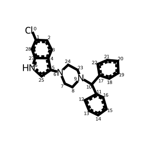 Clc1ccc2c(N3CCN(C(c4ccccc4)c4ccccc4)CC3)[c][nH]c2c1